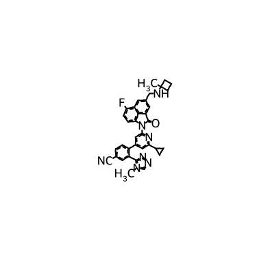 Cn1cnnc1-c1cc(C#N)ccc1-c1cc(C2CC2)nc(N2C(=O)c3cc(CNC4(C)CCC4)cc4c(F)ccc2c34)c1